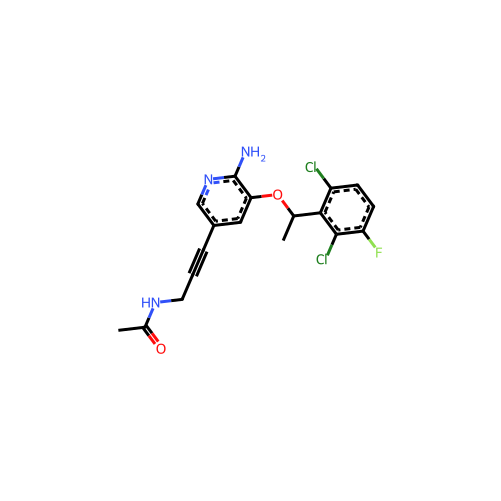 CC(=O)NCC#Cc1cnc(N)c(OC(C)c2c(Cl)ccc(F)c2Cl)c1